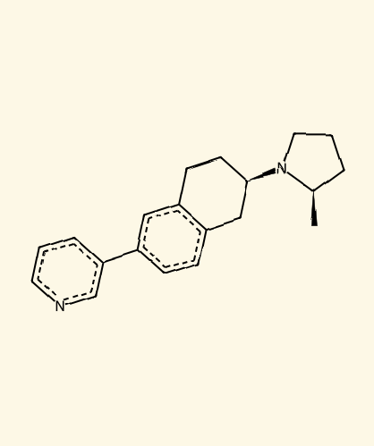 C[C@@H]1CCCN1[C@@H]1CCc2cc(-c3cccnc3)ccc2C1